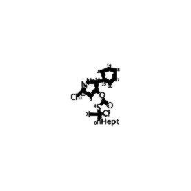 CCCCCCCC(Cl)(I)SC(=O)Oc1cc(Cl)nnc1-c1ccccc1